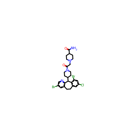 NC(=O)C1CCN(CC(=O)N2CCC(C3c4ncc(Br)cc4CCc4cc(Cl)cc(Br)c43)CC2)CC1